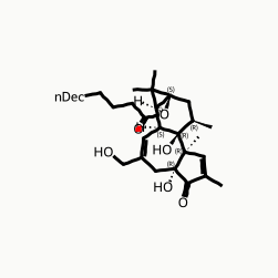 CCCCCCCCCCCCCC(=O)O[C@@]12C[C@@H](C)[C@@]3(O)[C@@H](C=C(CO)C[C@]4(O)C(=O)C(C)=C[C@]34C)[C@H]1C2(C)C